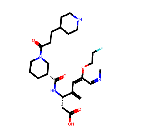 C=C(/C=C(\C=N/C)OCCF)[C@H](CC(=O)O)NC(=O)[C@@H]1CCCN(C(=O)CCC2CCNCC2)C1